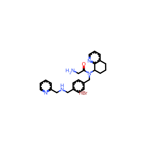 Br.NCC(=O)N(Cc1ccc(CNCc2ccccn2)cc1)C1CCCc2cccnc21